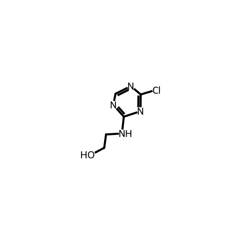 OCCNc1ncnc(Cl)n1